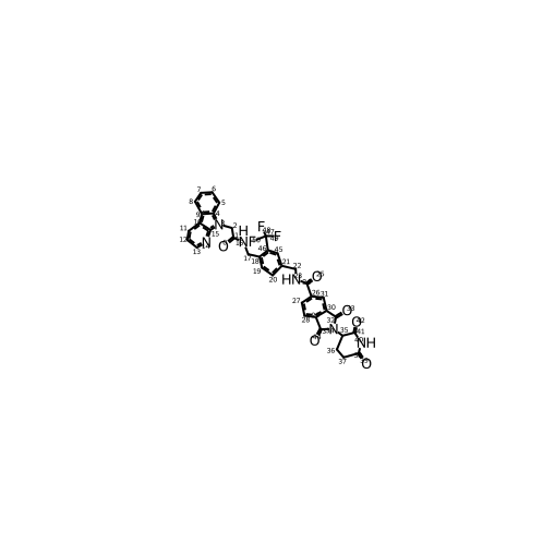 O=C(Cn1c2ccccc2c2cccnc21)NCc1ccc(CNC(=O)c2ccc3c(c2)C(=O)N(C2CCC(=O)NC2=O)C3=O)cc1C(F)(F)F